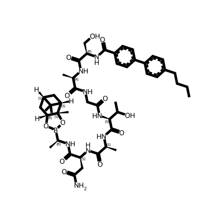 CCCCc1ccc(-c2ccc(C(=O)N[C@H](CO)C(=O)N[C@H](C)C(=O)NCC(=O)N[C@H](C(=O)N[C@@H](C)C(=O)N[C@@H](CC(N)=O)C(=O)N[C@@H](C)B3O[C@@H]4C[C@@H]5C[C@@H](C5(C)C)[C@]4(C)O3)C(C)O)cc2)cc1